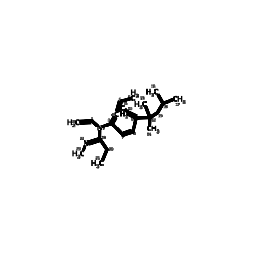 C=CN(C(=C=CC)/C=C\C(=C/C)C(C)(C)CC(C)C)/C(CC)=N/C